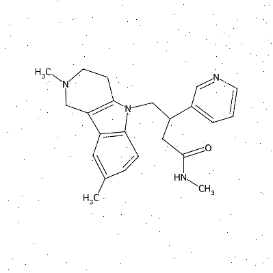 CNC(=O)CC(Cn1c2c(c3cc(C)ccc31)CN(C)CC2)c1cccnc1